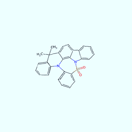 CC1(C)c2ccccc2N2c3ccccc3S(=O)(=O)n3c4ccccc4c4ccc1c2c43